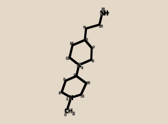 CN1CCC(N2CCC(CC[NH])CC2)CC1